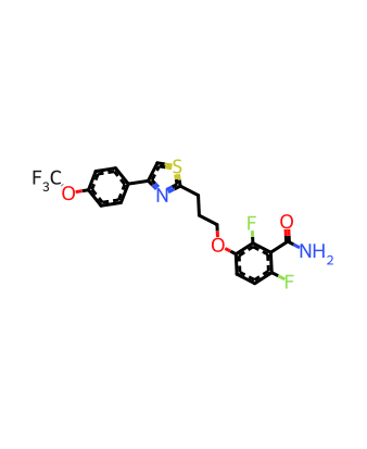 NC(=O)c1c(F)ccc(OCCCc2nc(-c3ccc(OC(F)(F)F)cc3)cs2)c1F